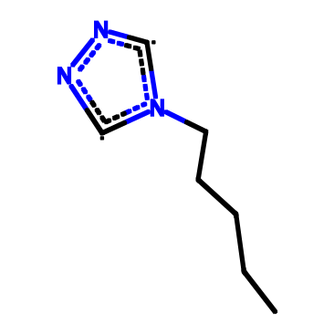 CCCCCn1[c]nn[c]1